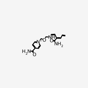 C=C/C=C(\C=C/NCOC[n+]1ccc(C(N)=O)cc1)C(N)=O